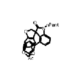 CCCCCN1C(=O)C2(COc3cc4c(cc32)OCO4)c2c(-c3cccc(C(C)=O)c3)cccc21